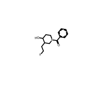 O=C(c1ccccc1)N1CCC(O)C(CCF)C1